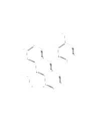 Cc1cccc(-c2c3ccccc3c(B(O)O)c3ccccc23)c1